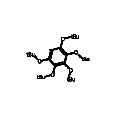 CC(C)(C)Oc1[c]c(OC(C)(C)C)c(OC(C)(C)C)c(OC(C)(C)C)c1OC(C)(C)C